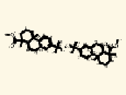 COC(=O)C1(C)CCCC2(C)c3ccc(C(C)(C)OOC(C)(C)c4ccc5c(c4)CCC4C(C)(C(=O)OC)CCCC54C)cc3CCC12